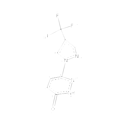 O=c1ccc(-n2cc(C(F)(F)F)cn2)n[nH]1